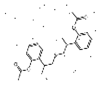 CC(=O)Oc1ccccc1C(C)CSCC(C)c1ccccc1OC(C)=O